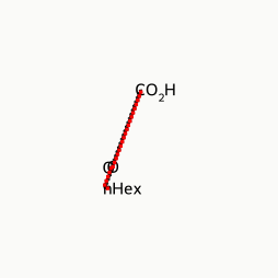 CCCCCC/C=C\CCCCCCCC(=O)OCCCCCCCCCCCCCCCCCCCCCCCCCCCCCCCCCCCCC(=O)O